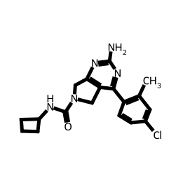 Cc1cc(Cl)ccc1-c1nc(N)nc2c1CN(C(=O)NC1CCC1)C2